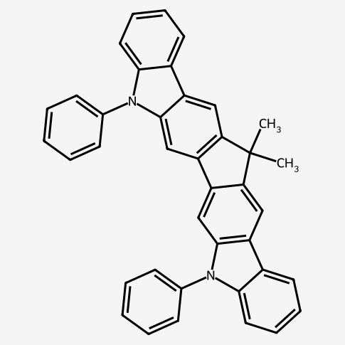 CC1(C)c2cc3c4ccccc4n(-c4ccccc4)c3cc2-c2cc3c(cc21)c1ccccc1n3-c1ccccc1